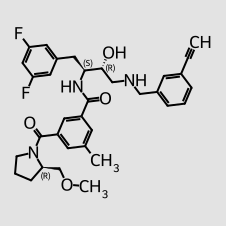 C#Cc1cccc(CNC[C@@H](O)[C@H](Cc2cc(F)cc(F)c2)NC(=O)c2cc(C)cc(C(=O)N3CCC[C@@H]3COC)c2)c1